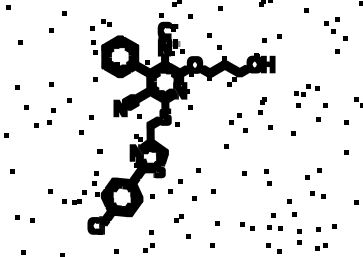 [C-]#[N+]c1c(OCCCO)nc(SCc2csc(-c3ccc(Cl)cc3)n2)c(C#N)c1-c1ccccc1